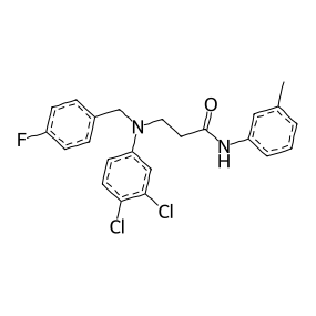 Cc1cccc(NC(=O)CCN(Cc2ccc(F)cc2)c2ccc(Cl)c(Cl)c2)c1